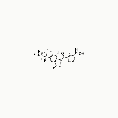 O=C(Nc1c(I)cc(C(F)(C(F)(F)F)C(F)(F)C(F)(F)F)cc1C(F)F)c1cccc(NO)c1F